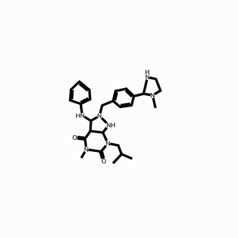 CC(C)CN1C(=O)N(C)C(=O)C2C(Nc3ccccc3)N(Cc3ccc(C4NCCN4C)cc3)NC21